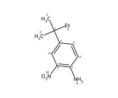 CCC(C)(C)c1ccc(N)c([N+](=O)[O-])c1